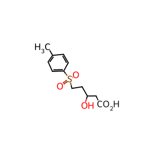 Cc1ccc(S(=O)(=O)CCC(O)CC(=O)O)cc1